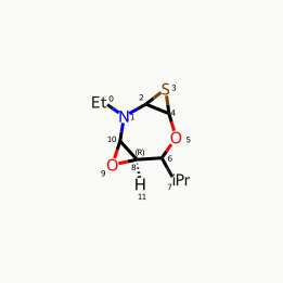 CCN1C2SC2OC(C(C)C)[C@H]2OC21